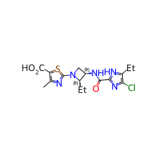 CCc1[nH]c(C(=O)N[C@@H]2CN(c3nc(C)c(C(=O)O)s3)[C@@H]2CC)nc1Cl